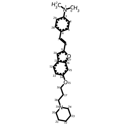 CN(C)c1ccc(/C=C/c2cc3ccc(OCCCN4CCCCC4)cc3o2)cc1